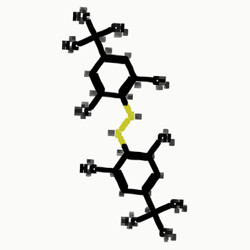 Cc1cc(C(C)(C)C)cc(C)c1SSc1c(C)cc(C(C)(C)C)cc1C